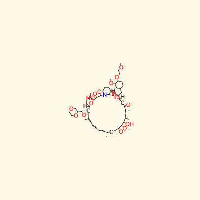 COCCO[C@@H]1CC[C@@H](CC2[C@H]3CCCN4C(=O)C(=O)[C@]5(O)O[C@@H](CC[C@H]5C)C[C@@H](OC[C@@H]5COCCO5)/C(C)=C/C=C/C=C/[C@@H](C)C[C@@H](C)C(=O)[C@H](OC)[C@H](O)/C(C)=C/[C@@H](C)C(=O)C[C@@H]2OC(=O)C34)C[C@H]1OC